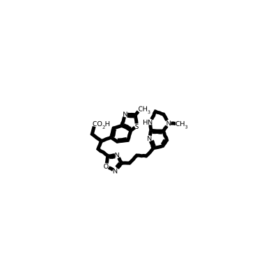 Cc1nc2cc(C(CC(=O)O)Cc3nc(CCCc4ccc5c(n4)NCCN5C)no3)ccc2s1